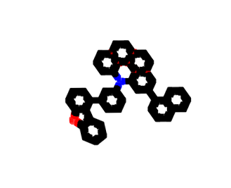 c1ccc(-c2ccccc2N(c2cccc(-c3cccc4oc5ccccc5c34)c2)c2cc(-c3cccc4ccccc34)ccc2-c2ccccc2)cc1